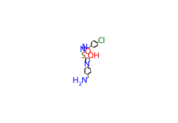 NCc1ccc(N2C=C(Sc3nnc(-c4ccc(Cl)cc4)o3)C(O)C2)cc1